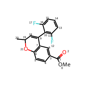 COC(=O)c1ccc2c(c1)C(c1c(F)cccc1F)=CC(C)O2